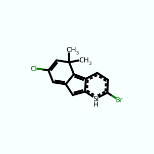 CC1(C)C=C(Cl)C=C2C=c3[siH]c(Br)ccc3=C21